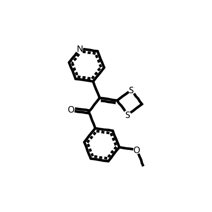 COc1cccc(C(=O)C(=C2SCS2)c2ccncc2)c1